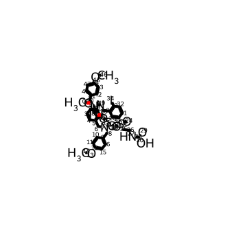 COc1ccc(CN(Cc2ccc(OC)cc2)S(=O)(=O)c2c(S(=O)(=O)CCNC(=O)O)ccc(I)c2-c2nnn(Cc3ccc(OC)cc3)n2)cc1